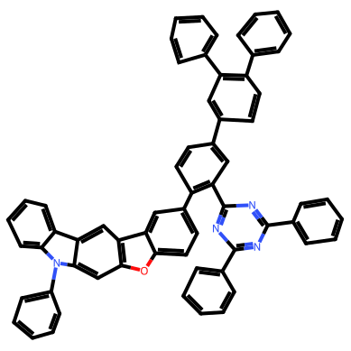 c1ccc(-c2nc(-c3ccccc3)nc(-c3cc(-c4ccc(-c5ccccc5)c(-c5ccccc5)c4)ccc3-c3ccc4oc5cc6c(cc5c4c3)c3ccccc3n6-c3ccccc3)n2)cc1